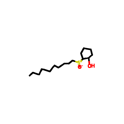 CCCCCCCCCC[S@@+]([O-])C1CCCCC1O